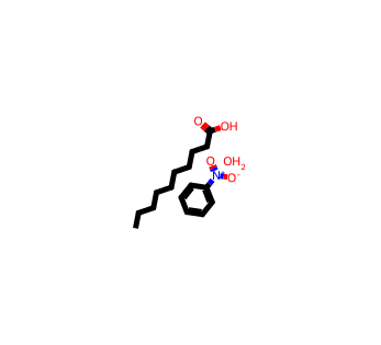 CCCCCCCCCC(=O)O.O.O=[N+]([O-])c1ccccc1